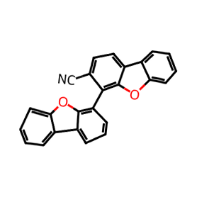 N#Cc1ccc2c(oc3ccccc32)c1-c1cccc2c1oc1ccccc12